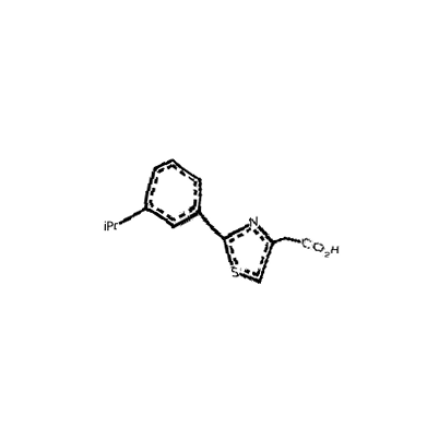 CC(C)c1cccc(-c2nc(C(=O)O)cs2)c1